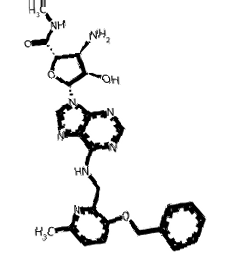 CNC(=O)[C@H]1O[C@@H](n2cnc3c(NCc4nc(C)ccc4OCc4ccccc4)ncnc32)[C@H](O)[C@@H]1N